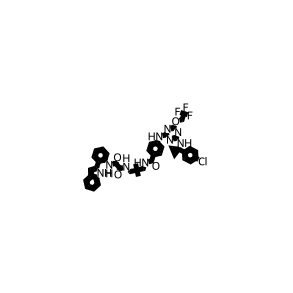 CC(C)(CNC(=O)C(=O)Nc1ccccc1-c1cc2ccccc2[nH]1)CNC(=O)c1ccc(Nc2nc(NC3(c4ccc(Cl)cc4)CC3)nc(OCC(F)(F)F)n2)cc1